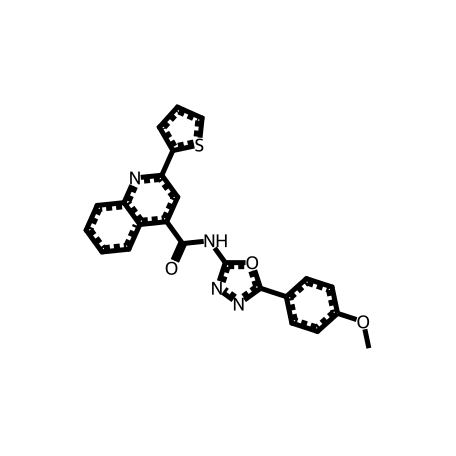 COc1ccc(-c2nnc(NC(=O)c3cc(-c4cccs4)nc4ccccc34)o2)cc1